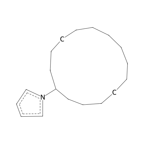 c1ccn(C2CCCCCCCCCCCCC2)c1